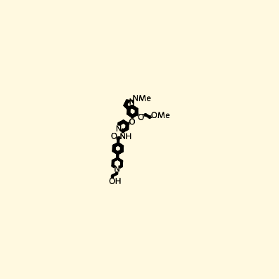 CNn1ccc2cc(Oc3ccnc(NC(=O)c4ccc(C5CCN(CCO)CC5)cc4)c3)c(OCCOC)cc21